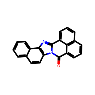 O=c1c2cccc3cccc(c32)c2nc3c4ccccc4ccc3n12